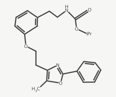 Cc1oc(-c2ccccc2)nc1CCOc1[c]c(CCNC(=O)OC(C)C)ccc1